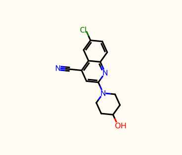 N#Cc1cc(N2CCC(O)CC2)nc2ccc(Cl)cc12